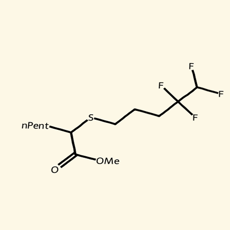 CCCCCC(SCCCC(F)(F)C(F)F)C(=O)OC